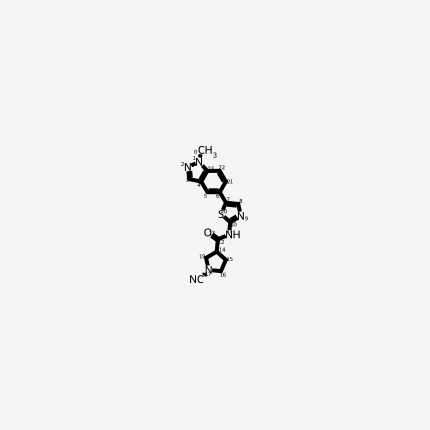 Cn1ncc2cc(-c3cnc(NC(=O)C4CCN(C#N)C4)s3)ccc21